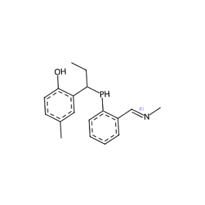 CCC(Pc1ccccc1/C=N/C)c1cc(C)ccc1O